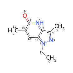 CCn1nc(C)c2[nH]c(=O)c(C)cc21